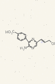 COC/C=C/c1cnc(N)c(-c2ccc(C(=O)O)cc2)n1